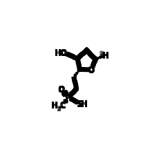 [3H][C@H]1CC(O)[C@@H](CCP(C)(=O)S)O1